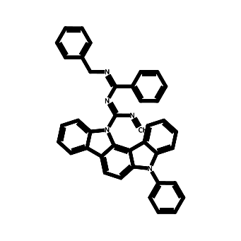 C=N/C(=N\C(=N/Cc1ccccc1)c1ccccc1)n1c2ccccc2c2ccc3c(c4ccccc4n3-c3ccccc3)c21